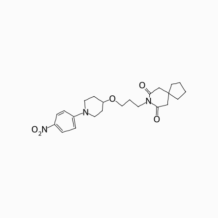 O=C1CC2(CCCC2)CC(=O)N1CCCOC1CCN(c2ccc([N+](=O)[O-])cc2)CC1